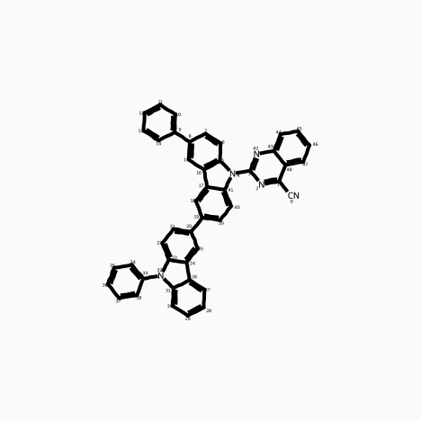 N#Cc1nc(-n2c3ccc(-c4ccccc4)cc3c3cc(-c4ccc5c(c4)c4ccccc4n5-c4ccccc4)ccc32)nc2ccccc12